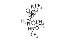 C=C(CCN(Cc1ccc(C(F)(F)F)c(F)c1)S(=O)(=O)c1ccccc1)C1=NC(C)(C)[C@H](C(=O)NCCC(F)(F)F)N1